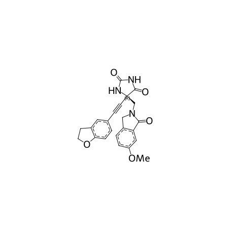 COc1ccc2c(c1)C(=O)N(C[C@@]1(C#Cc3ccc4c(c3)CCO4)NC(=O)NC1=O)C2